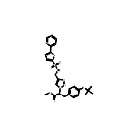 COC(=O)[C@H](Cc1ccc(OC(C)(C)C)cc1)n1cc(CNS(=O)(=O)c2ccc(-c3ccccn3)s2)nn1